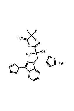 C=C(OC(=O)C(C)(C)Cn1nc(-[c-]2cccc2)c2ccccc21)C(F)(F)F.[Fe+2].c1cc[cH-]c1